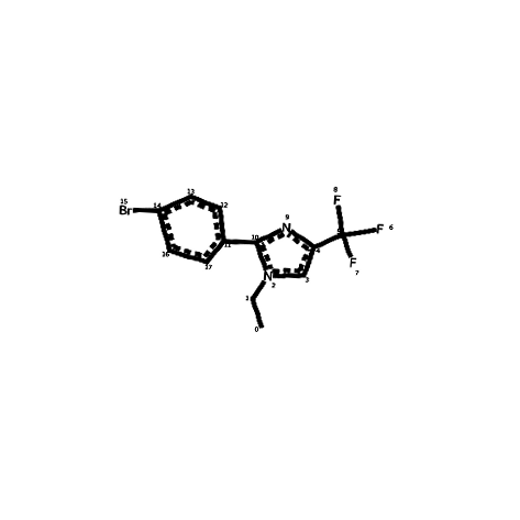 CCn1cc(C(F)(F)F)nc1-c1ccc(Br)cc1